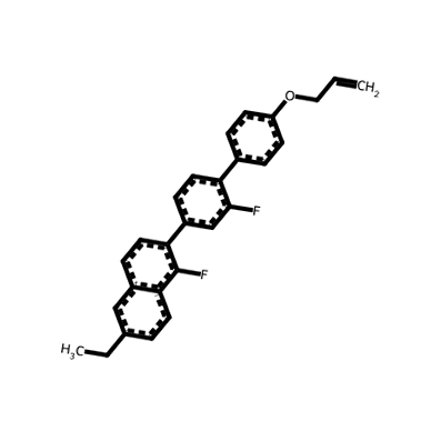 C=CCOc1ccc(-c2ccc(-c3ccc4cc(CC)ccc4c3F)cc2F)cc1